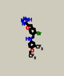 FC(F)(F)COc1ccc(NCc2cc3oc(-c4nnn[nH]4)cc3cc2Br)cc1C(F)(F)F